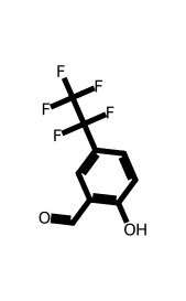 O=Cc1cc(C(F)(F)C(F)(F)F)ccc1O